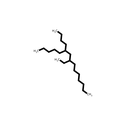 CCCCCCCC([CH]C(CCCC)CCCCC)CC